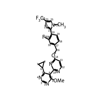 COc1ncnc(C2CC2)c1-c1nccc(OCc2ccc(-c3nc(C(F)(F)F)cn3C)c(F)c2)n1